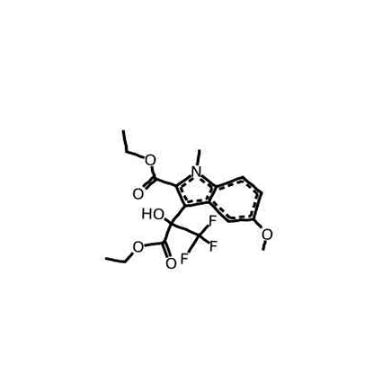 CCOC(=O)c1c(C(O)(C(=O)OCC)C(F)(F)F)c2cc(OC)ccc2n1C